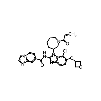 C=CC(=O)N1CCCCC(n2c(NC(=O)c3ccn4ccnc4c3)nc3ccc(OC4COC4)c(Cl)c32)C1